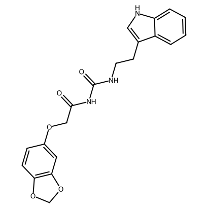 O=C(COc1ccc2c(c1)OCO2)NC(=O)NCCc1c[nH]c2ccccc12